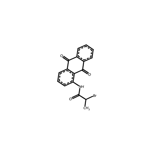 CC(Br)C(=O)Nc1cccc2c1C(=O)c1ccccc1C2=O